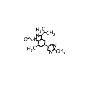 C=C(C)c1nn(CC=O)c2c(C)cc(-c3cnc(C)nc3)cc12